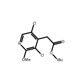 COc1ncc(Cl)c(CC(=O)OC(C)(C)C)c1Cl